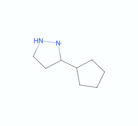 C1CCC(C2CCN[N]2)C1